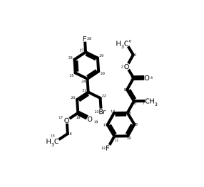 CCOC(=O)C=C(C)c1ccc(F)cc1.CCOC(=O)C=C(CBr)c1ccc(F)cc1